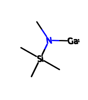 C[N]([Ga])[Si](C)(C)C